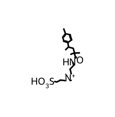 Cc1ccc(C(C)CC(C)(C)C(=O)NCCC[N+](C)(C)CCCS(=O)(=O)O)cc1